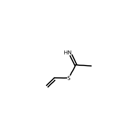 C=CSC(C)=N